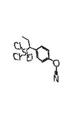 CCC(c1ccc(OC#N)cc1)[Si](Cl)(Cl)Cl